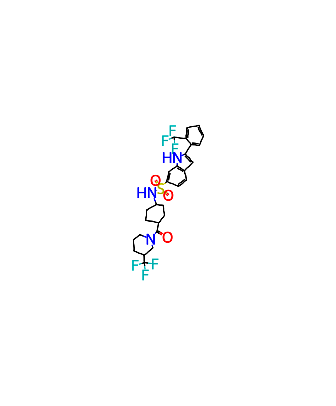 O=C(C1CCC(NS(=O)(=O)c2ccc3cc(-c4ccccc4C(F)(F)F)[nH]c3c2)CC1)N1CCCC(C(F)(F)F)C1